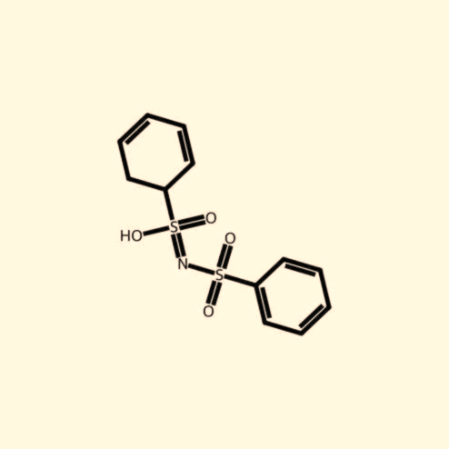 O=S(=O)(N=S(=O)(O)C1C=CC=CC1)c1ccccc1